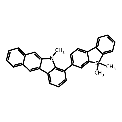 Cn1c2cc3ccccc3cc2c2cccc(-c3ccc4c(c3)[Si](C)(C)c3ccccc3-4)c21